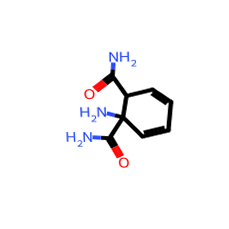 NC(=O)C1C=CC=CC1(N)C(N)=O